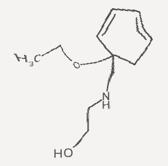 CCOC1(NCCO)C=CC=CC1